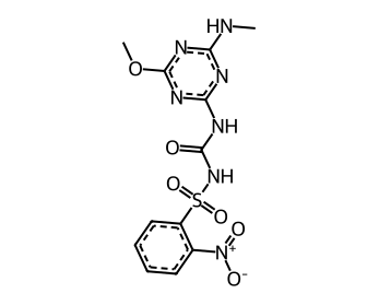 CNc1nc(NC(=O)NS(=O)(=O)c2ccccc2[N+](=O)[O-])nc(OC)n1